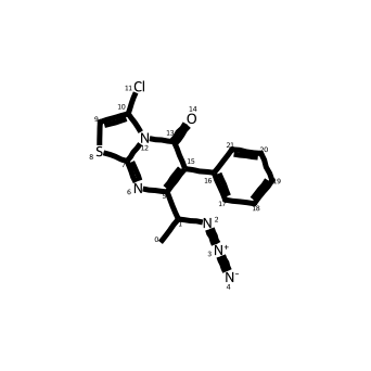 CC(N=[N+]=[N-])c1nc2scc(Cl)n2c(=O)c1-c1ccccc1